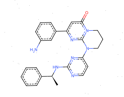 C[C@H](Nc1nccc(N2CCCn3c2nc(-c2cccc(N)c2)cc3=O)n1)c1ccccc1